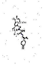 C=C/C(=C\C=C(/N)N/C(N)=N/c1c(C=C)cc2n1[C@@H](C(C)CC)CN(C)C2=O)N1CCNCC1